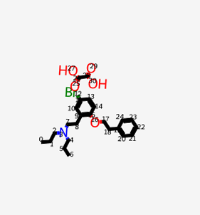 CCCN(CCC)CCc1cc(Br)ccc1OCCc1ccccc1.O=C(O)C(=O)O